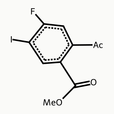 COC(=O)c1cc(I)c(F)cc1C(C)=O